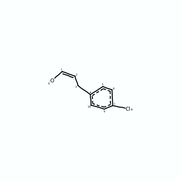 [O]/C=C\Cc1ccc(Cl)cc1